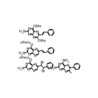 CCCCCOc1nc(N)nc2ncc(C(Br)C(Br)c3ccccc3)nc12.CCCCCOc1nc(N)nc2ncc(C=Cc3ccccc3)nc12.COc1nc2nc(N)nc(OC)c2nc1C=Cc1ccccc1.Cc1nc2nc(N)nc(N)c2nc1-c1ccccc1